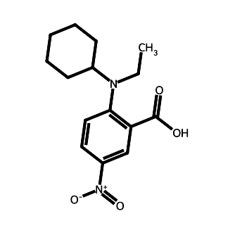 CCN(c1ccc([N+](=O)[O-])cc1C(=O)O)C1CCCCC1